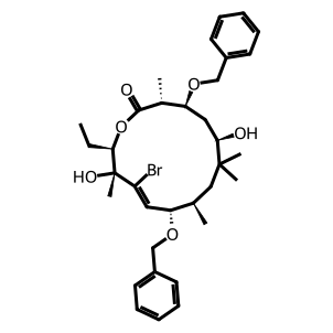 CC[C@H]1OC(=O)[C@H](C)[C@@H](OCc2ccccc2)C[C@@H](O)C(C)(C)C[C@@H](C)[C@H](OCc2ccccc2)/C=C(\Br)[C@]1(C)O